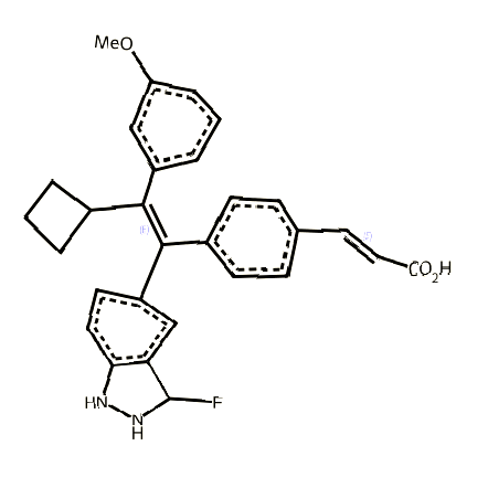 COc1cccc(/C(=C(\c2ccc(/C=C/C(=O)O)cc2)c2ccc3c(c2)C(F)NN3)C2CCC2)c1